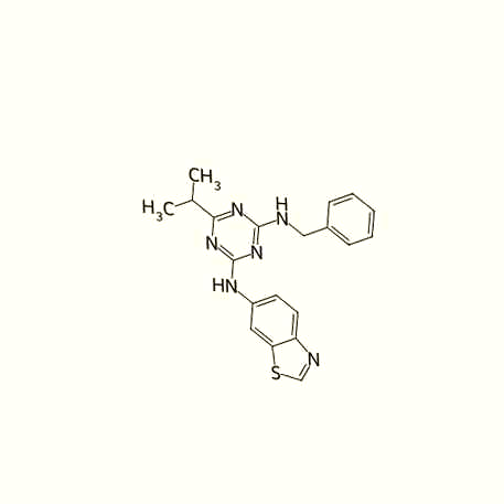 CC(C)c1nc(NCc2ccccc2)nc(Nc2ccc3ncsc3c2)n1